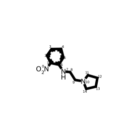 O=[N+]([O-])c1ccccc1NCCN1CCCC1